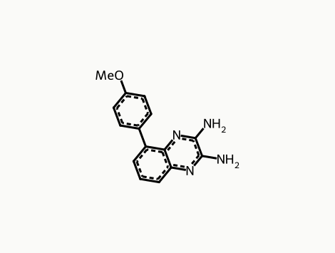 COc1ccc(-c2cccc3nc(N)c(N)nc23)cc1